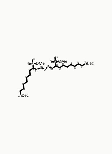 CCCCCCCCCCCCCCCCCC(SSSSSC(CCCCCCCCCCCCCCCCC)[Si](C)(C)OC)[Si](C)(C)OC